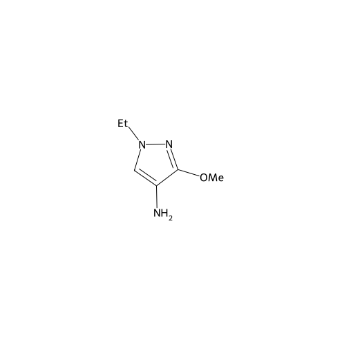 CCn1cc(N)c(OC)n1